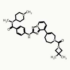 CN1CCC(N(C)C(=O)c2ccc(Nc3nc4c(C5=CCN(C(=O)N6CC(C)(C)C6)CCC5)cccn4n3)cc2)CC1